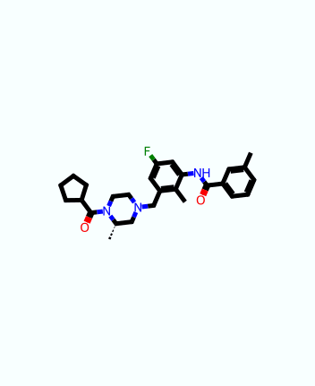 Cc1cccc(C(=O)Nc2cc(F)cc(CN3CCN(C(=O)C4CCCC4)[C@@H](C)C3)c2C)c1